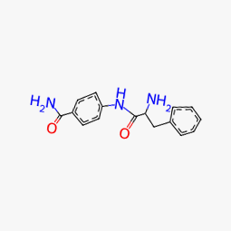 NC(=O)c1ccc(NC(=O)C(N)Cc2ccccc2)cc1